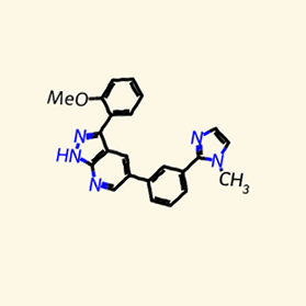 COc1ccccc1-c1n[nH]c2ncc(-c3cccc(-c4nccn4C)c3)cc12